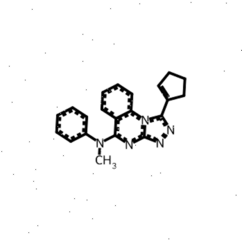 CN(c1ccccc1)c1nc2nnc(C3=CCCC3)n2c2ccccc12